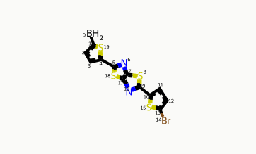 Bc1ccc(-c2nc3sc(-c4ccc(Br)s4)nc3s2)s1